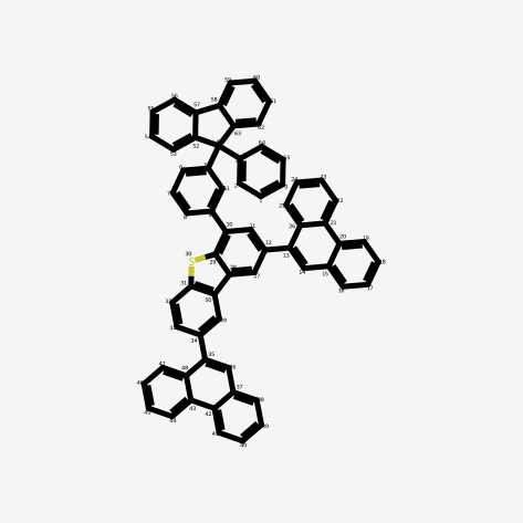 c1ccc(C2(c3cccc(-c4cc(-c5cc6ccccc6c6ccccc56)cc5c4sc4ccc(-c6cc7ccccc7c7ccccc67)cc45)c3)c3ccccc3-c3ccccc32)cc1